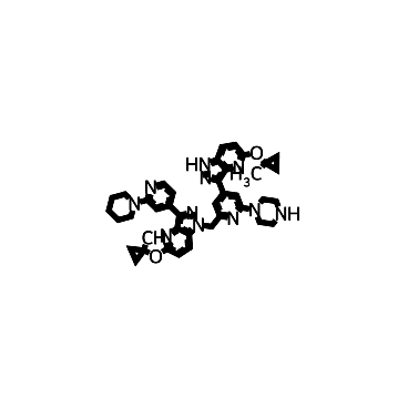 CC1(Oc2ccc3[nH]nc(-c4cc(Cn5nc(-c6ccnc(N7CCCCC7)c6)c6nc(OC7(C)CC7)ccc65)nc(N5CCNCC5)c4)c3n2)CC1